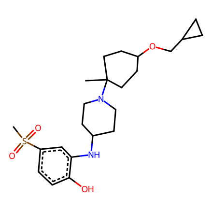 CC1(N2CCC(Nc3cc(S(C)(=O)=O)ccc3O)CC2)CCC(OCC2CC2)CC1